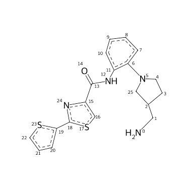 NCC1CCN(c2ccccc2NC(=O)c2csc(-c3cccs3)n2)C1